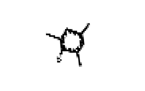 [B]c1c(C)cc(C)cc1C